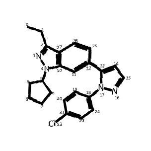 CCc1nn(C2CCCC2)c2cc(-c3ccnn3-c3ccc(Cl)cc3)ccc12